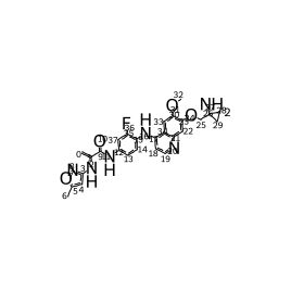 C=C(Nc1cc(C)on1)C(=O)Nc1ccc(Nc2ccnc3cc(OCC4(N)CC4)c(OC)cc23)c(F)c1